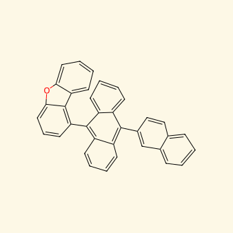 c1ccc2cc(-c3c4ccccc4c(-c4cccc5oc6ccccc6c45)c4ccccc34)ccc2c1